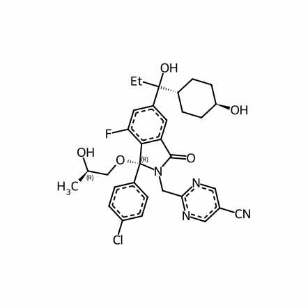 CCC(O)(c1cc(F)c2c(c1)C(=O)N(Cc1ncc(C#N)cn1)[C@@]2(OC[C@@H](C)O)c1ccc(Cl)cc1)[C@H]1CC[C@H](O)CC1